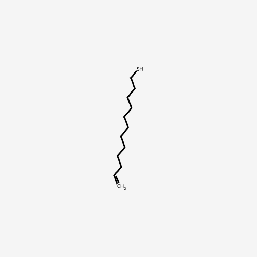 C=CCCCCCCCCC[CH]S